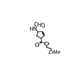 COCCOC(=O)C1C=CC(NC=O)C1